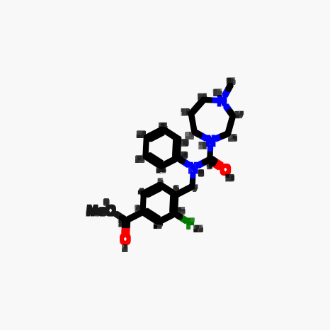 COC(=O)c1ccc(CN(C(=O)N2CCCN(C)CC2)c2ccccc2)c(F)c1